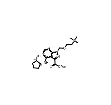 COC(=O)c1nn(COCC[Si](C)(C)C)c2ncnc(N[C@@H]3CCC[C@H]3O)c12